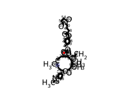 C=CC[C@H]1C(=O)C(C)(C)[C@@H](O)CC(=O)O[C@H](c2ccc3sc(C)nc3c2)C/C=C(/C)CCC[C@H](C)[C@@H]1OC(=O)OCc1ccc(OC(=O)CCCN2C(=O)C=CC2=O)cc1